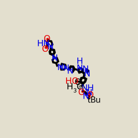 C[C@@H](NC(=O)c1noc(C(C)(C)C)n1)c1ccc(-c2ncnc3[nH]c(-c4ccc(N5CCN(CC6CCN(c7ccc(N8CCC(=O)NC8=O)cc7)CC6)CC5)nc4)cc23)cc1CO